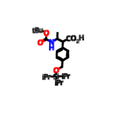 CC(NC(=O)OC(C)(C)C)C(C(=O)O)c1ccc(CO[Si](C(C)C)(C(C)C)C(C)C)cc1